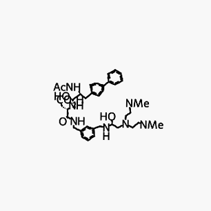 CNCCN(CCNC)C[C@H](O)NCc1cccc(CNC(=O)[C@H](CC(=O)O)N[C@@H](O)[C@H](Cc2ccc(-c3ccccc3)cc2)NC(C)=O)c1